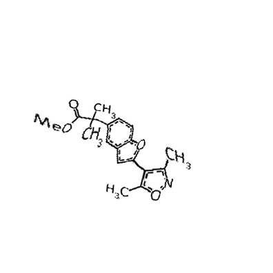 COC(=O)C(C)(C)c1ccc2oc(-c3c(C)noc3C)cc2c1